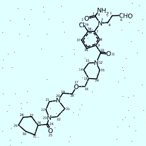 NC(=O)N(CCC=O)c1cc(C(=O)N2CCC(COCCN3CCN(C(=O)C4CCCCC4)CC3)CC2)ccc1Cl